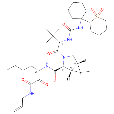 C=CCNC(=O)C(=O)[C@H](CCCC)NC(=O)[C@@H]1[C@@H]2[C@H](CN1C(=O)[C@@H](NC(=O)NC1(C3CCCCS3(=O)=O)CCCCC1)C(C)(C)C)C2(C)C